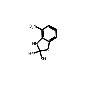 O=[N+]([O-])c1cccc2c1NC(S)(S)S2